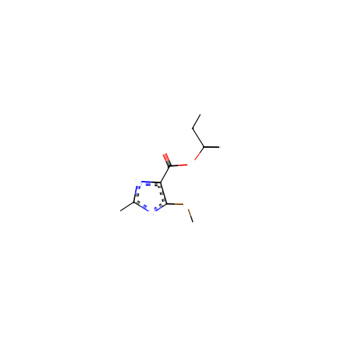 CCC(C)OC(=O)c1[nH]c(C)nc1SC